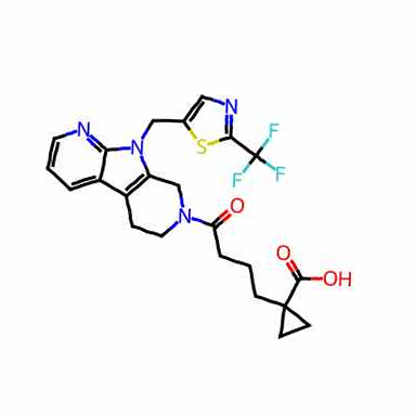 O=C(CCCC1(C(=O)O)CC1)N1CCc2c(n(Cc3cnc(C(F)(F)F)s3)c3ncccc23)C1